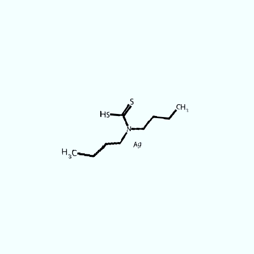 CCCCN(CCCC)C(=S)S.[Ag]